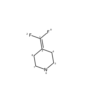 FC(F)=C1CC[N]CC1